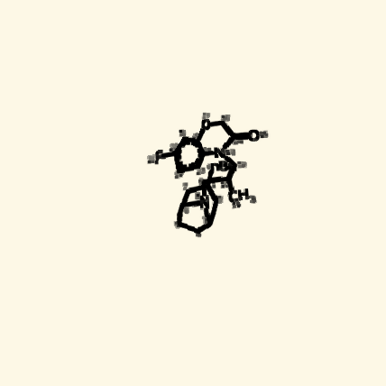 CCCCC1CC2CCC(C1)N2CC(C)CN1C(=O)COc2cc(F)ccc21